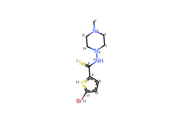 CN1CCN(NC(=S)c2ccc(Br)s2)CC1